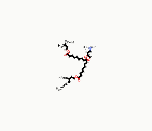 C=C=C=C=CC(CCCCC)CCOC(=O)CCCCCCCC1(CCCCCCCC(=O)OCCC(C)CCCCC)OCC(CCN(C)C(C)C)O1